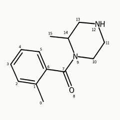 Cc1ccccc1C(=O)N1CCNCC1C